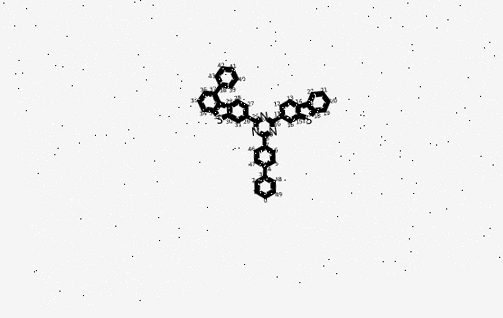 c1ccc(-c2ccc(-c3nc(-c4ccc5c(c4)sc4ccccc45)nc(-c4ccc5c(c4)sc4cccc(-c6ccccc6)c45)n3)cc2)cc1